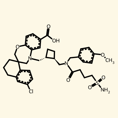 COc1ccc(CN(C[C@@H]2CC[C@H]2CN2CC3(CCCc4cc(Cl)ccc43)COc3ccc(C(=O)O)cc32)C(=O)CCCS(N)(=O)=O)cc1